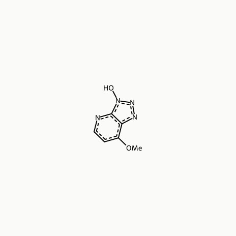 COc1ccnc2c1nnn2O